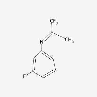 CC(=Nc1cccc(F)c1)C(F)(F)F